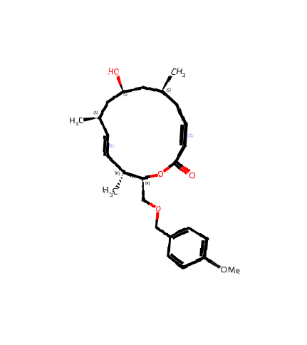 COc1ccc(COC[C@@H]2OC(=O)/C=C\C[C@H](C)C[C@H](O)C[C@H](C)/C=C/[C@H]2C)cc1